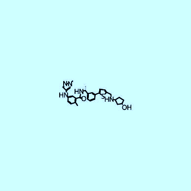 Cc1ccc(Nc2cnn(C)c2)cc1C(=O)N[C@H](C)c1cccc(-c2ccc(CNC3CC[C@@H](O)C3)s2)c1